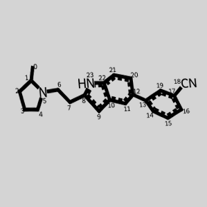 CC1CCCN1CCc1cc2cc(-c3cccc(C#N)c3)ccc2[nH]1